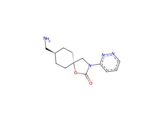 NC[C@H]1CC[C@]2(CC1)CN(c1cccnn1)C(=O)O2